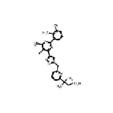 Cc1c(C#N)cccc1-c1nc(N)c(F)c(-c2cn(Cc3cccc(C(C)(C)CC(=O)O)n3)nn2)n1